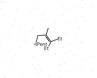 CCCCCCC(C)=C(CC)CC